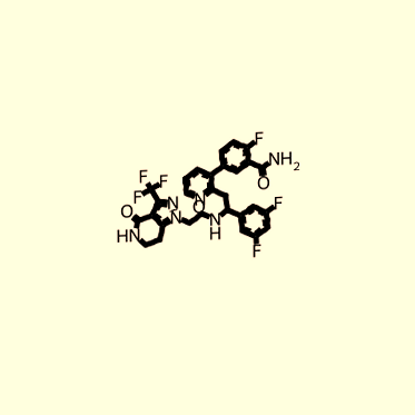 NC(=O)c1cc(-c2cccnc2CC(NC(=O)Cn2nc(C(F)(F)F)c3c2CCNC3=O)c2cc(F)cc(F)c2)ccc1F